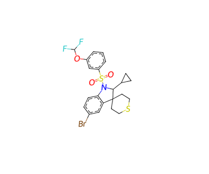 O=S(=O)(c1cccc(OC(F)F)c1)N1c2ccc(Br)cc2C2(CCSCC2)C1C1CC1